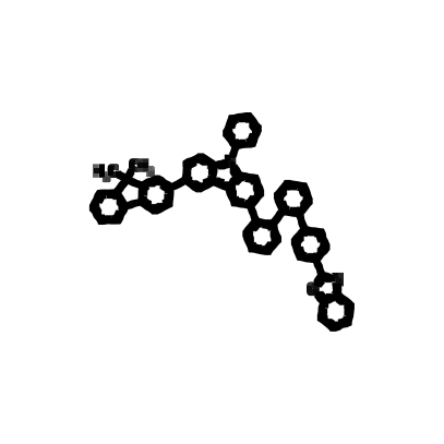 CC1(C)c2ccccc2-c2ccc(-c3ccc4c(c3)c3cc(-c5ccccc5-c5ccccc5-c5ccc(-c6nc7ccccc7o6)cc5)ccc3n4-c3ccccc3)cc21